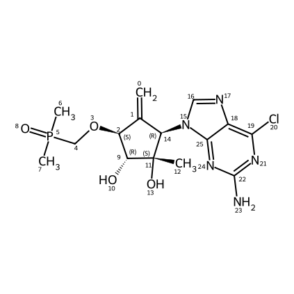 C=C1[C@H](OCP(C)(C)=O)[C@@H](O)[C@@](C)(O)[C@@H]1n1cnc2c(Cl)nc(N)nc21